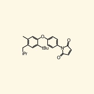 Cc1cc(Oc2ccc(N3C(=O)C=CC3=O)cc2)c(C(C)(C)C)cc1CC(C)C